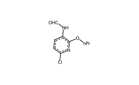 CCCOc1nc(Cl)ccc1NC=O